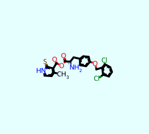 Cc1cc[nH]c(=S)c1C(=O)OC(=O)[C@@H](N)Cc1ccc(OCc2c(Cl)cccc2Cl)cc1